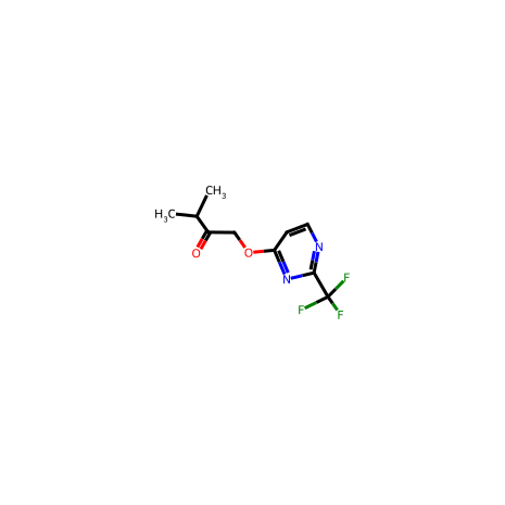 CC(C)C(=O)COc1ccnc(C(F)(F)F)n1